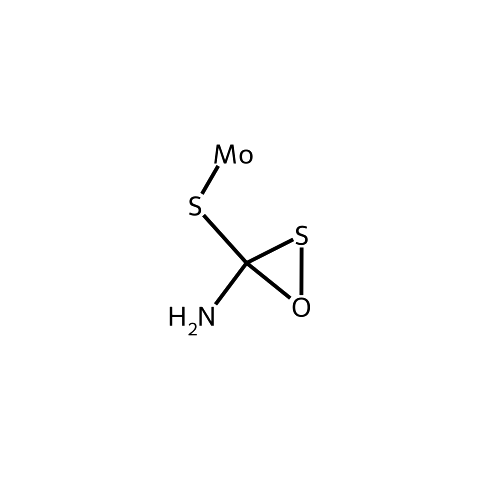 NC1([S][Mo])OS1